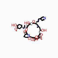 CO[C@H]1C[C@@H](O)C/C(C)=C/[C@@H](C/C=C/c2ccncc2)C(=O)C[C@H](O)[C@@H](C)[C@@H](/C(C)=C/[C@@H]2CC[C@@H](O)[C@H](OC)C2)OC(=O)[C@@H]2CCCCN2C(=O)C(=O)[C@]2(O)O[C@H]1[C@@H](OC)C[C@H]2C